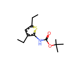 CCc1cc(CC)c(NC(=O)OC(C)(C)C)s1